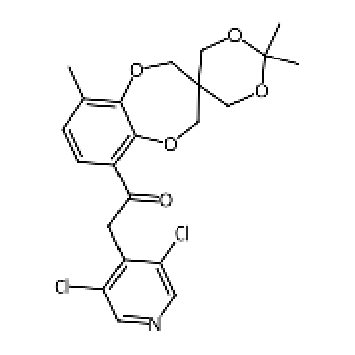 Cc1ccc(C(=O)Cc2c(Cl)cncc2Cl)c2c1OCC1(CO2)COC(C)(C)OC1